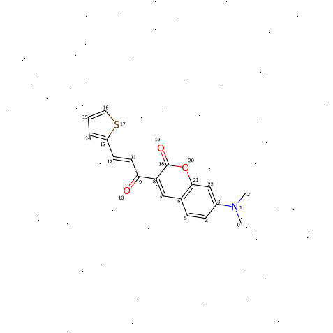 CN(C)c1ccc2cc(C(=O)C=Cc3cccs3)c(=O)oc2c1